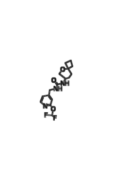 O=C(NCc1ccnc(OC(F)F)c1)NC1CCC2(CCC2)OC1